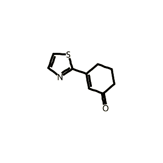 O=C1C=C(c2nccs2)CCC1